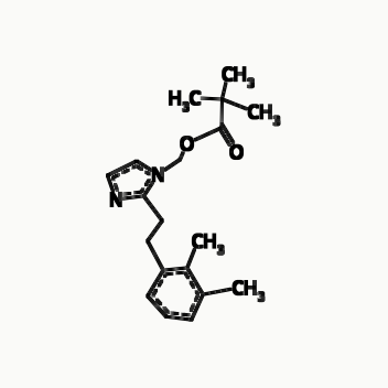 Cc1cccc(CCc2nccn2COC(=O)C(C)(C)C)c1C